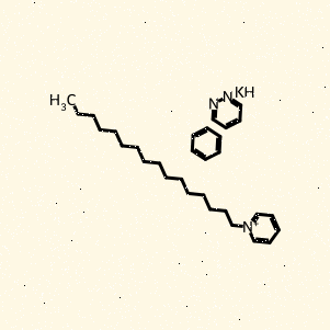 CCCCCCCCCCCCCCCC[n+]1ccccc1.[KH].c1ccccc1.c1ccnnc1